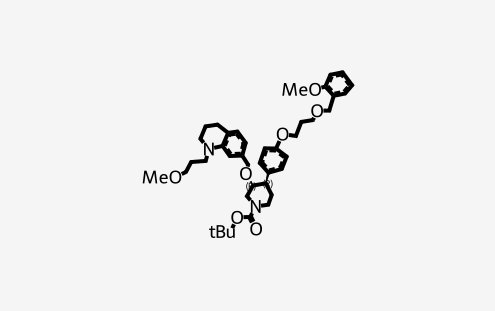 COCCCN1CCCc2ccc(CO[C@H]3CN(C(=O)OC(C)(C)C)CC[C@@H]3c3ccc(OCCCOCc4ccccc4OC)cc3)cc21